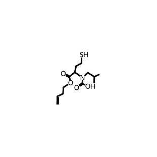 C=CCCOC(=O)C(CCS)N(CC(C)C)C(=O)O